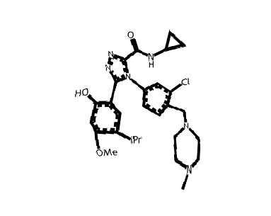 COc1cc(O)c(-c2nnc(C(=O)NC3CC3)n2-c2ccc(CN3CCN(C)CC3)c(Cl)c2)cc1C(C)C